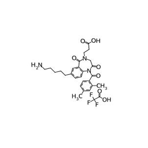 Cc1ccc(C(=O)N2C(=O)CN(CCC(=O)O)C(=O)c3cc(CCCCCN)ccc32)c(C)c1.O=C(O)C(F)(F)F